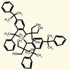 CC(C)(c1ccccc1)c1ccc(C(OC(c2ccc(C(C)(C)c3ccccc3)cc2C(C)(C)c2ccccc2)C(CO)(CO)CO)C(CO)(CO)CO)c(C(C)(C)c2ccccc2)c1